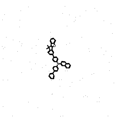 CC1(C)c2ccc(-c3ccc(N(c4ccc(-c5ccccc5)cc4)c4ccc5ccccc5c4)cc3)cc2-c2oc3ccccc3c21